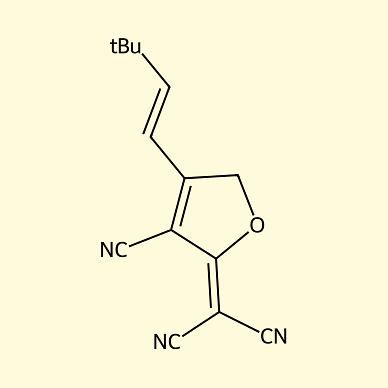 CC(C)(C)/C=C/C1=C(C#N)C(=C(C#N)C#N)OC1